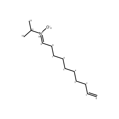 C=CCCCCCCCC=[N+]([O-])C(C)C